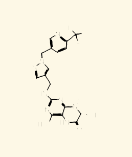 Cc1nc(NCc2cnn(Cc3ccc(C(F)(F)F)nc3)c2)nc2c1NC(=O)[C@@H](C)N2C